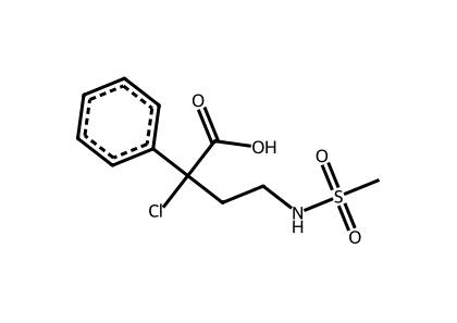 CS(=O)(=O)NCCC(Cl)(C(=O)O)c1ccccc1